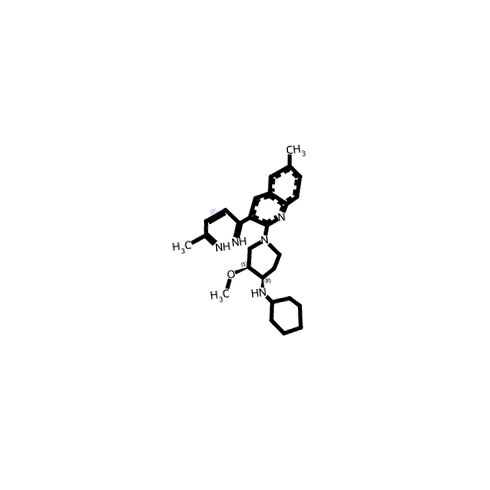 CO[C@H]1CN(c2nc3ccc(C)cc3cc2C(=N)/C=C\C(C)=N)CC[C@H]1NC1CCCCC1